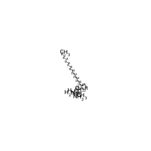 CCCCCCCCCCCCCCCCCCc1ccccc1C(=O)OC(C)(C)C(N)N